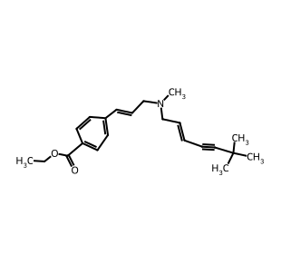 CCOC(=O)c1ccc(C=CCN(C)CC=CC#CC(C)(C)C)cc1